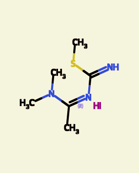 CSC(=N)/N=C(/C)N(C)C.I